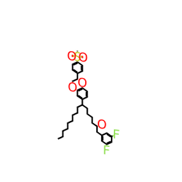 CCCCCCCCCC(CCCCC(=O)Cc1cc(F)cc(F)c1)c1ccc2c(c1)OCC(c1ccc(S(C)(=O)=O)cc1)O2